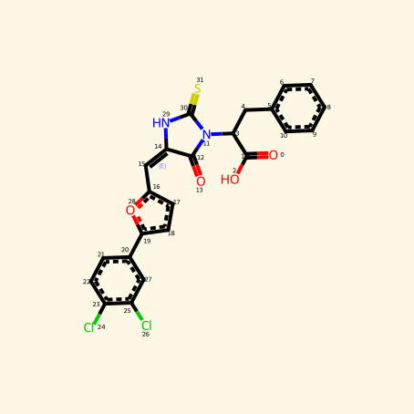 O=C(O)C(Cc1ccccc1)N1C(=O)/C(=C\c2ccc(-c3ccc(Cl)c(Cl)c3)o2)NC1=S